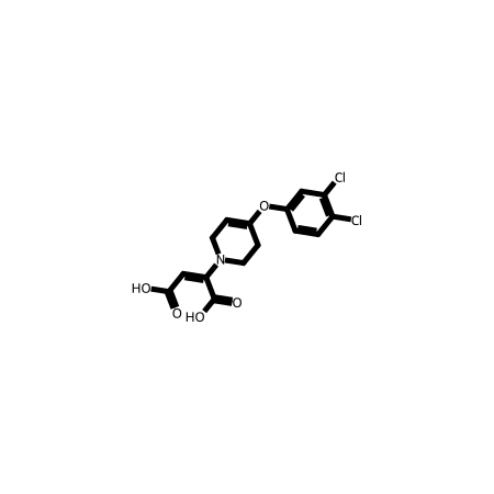 O=C(O)/C=C(\C(=O)O)N1CC=C(Oc2ccc(Cl)c(Cl)c2)CC1